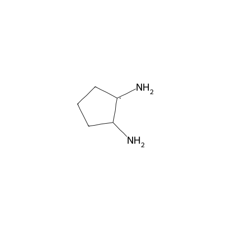 N[C]1CCCC1N